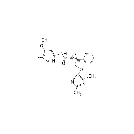 COc1cc(NC(=O)[C@@H]2C[C@@]2(COc2cnc(C)nc2C)c2ccccc2)ncc1F